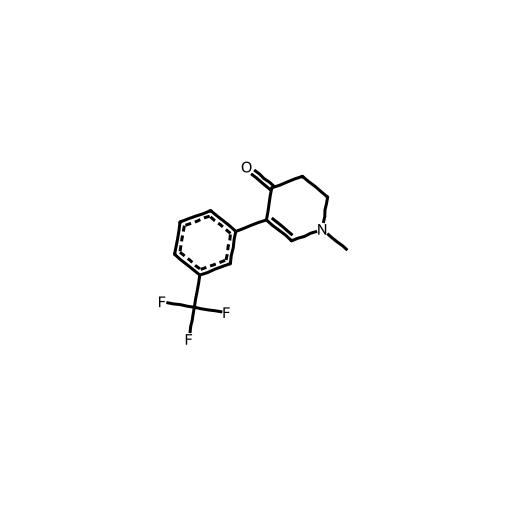 CN1C=C(c2cccc(C(F)(F)F)c2)C(=O)CC1